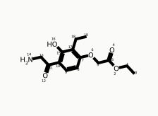 CCOC(=O)COc1ccc(C(=O)CN)c(O)c1CC